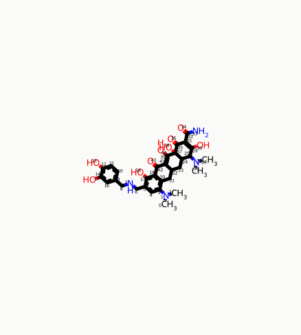 CN(C)c1cc(CNCc2ccc(O)c(O)c2)c(O)c2c1CC1CC3C(N(C)C)C(O)=C(C(N)=O)C(=O)C3(O)C(O)=C1C2=O